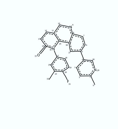 Cc1ccc(-c2ccc3ncc4ccc(=O)n(-c5ccc(F)c(C)c5)c4c3c2)cn1